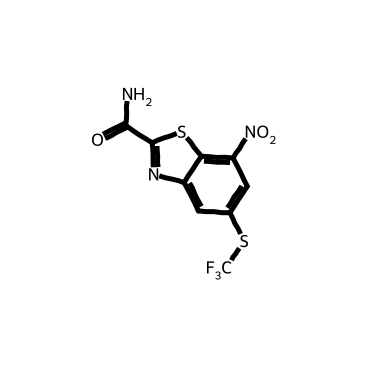 NC(=O)c1nc2cc(SC(F)(F)F)cc([N+](=O)[O-])c2s1